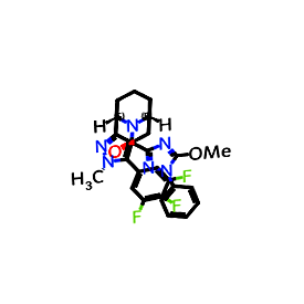 COc1nc(C(=O)N2[C@@H]3CCC[C@H]2c2nn(C)c(-c4cc(F)c(F)c(F)c4)c2C3)nn1-c1ccccc1